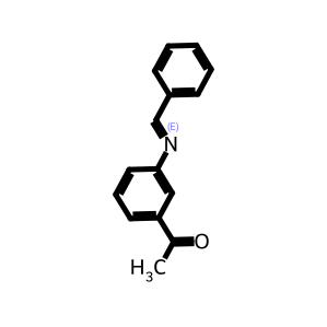 CC(=O)c1cccc(/N=C/c2ccccc2)c1